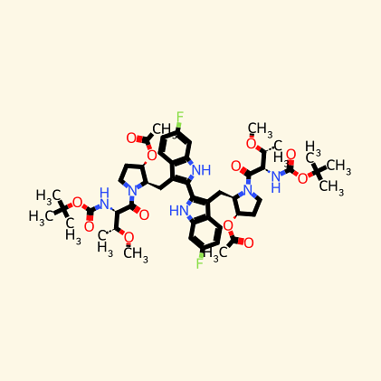 CO[C@H](C)[C@H](NC(=O)OC(C)(C)C)C(=O)N1CC[C@H](OC(C)=O)[C@H]1Cc1c(-c2[nH]c3cc(F)ccc3c2C[C@@H]2[C@@H](OC(C)=O)CCN2C(=O)[C@@H](NC(=O)OC(C)(C)C)[C@@H](C)OC)[nH]c2cc(F)ccc12